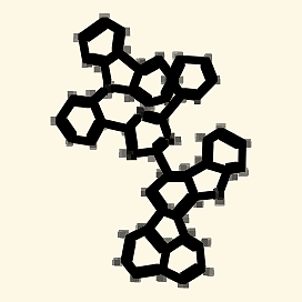 c1ccc(-c2nc(-c3ccccc3-n3c4ccccc4c4ccccc43)nc(-c3cc4c(c5oc6ccccc6c35)-c3cccc5cccc-4c35)n2)cc1